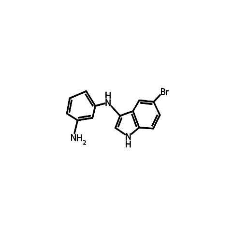 Nc1cccc(Nc2c[nH]c3ccc(Br)cc23)c1